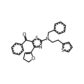 O=C(c1ccccc1)c1sc(N(CCc2cccs2)Cc2ccccc2)nc1C1=CCCO1